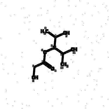 CC(O)N(OC(=O)CO)C(C)O